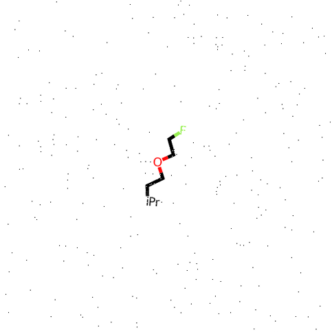 CC(C)CCOCCF